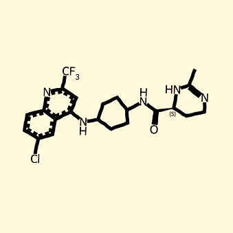 CC1=NCC[C@@H](C(=O)NC2CCC(Nc3cc(C(F)(F)F)nc4ccc(Cl)cc34)CC2)N1